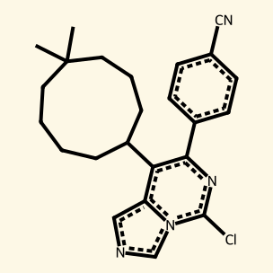 CC1(C)CCCCC(c2c(-c3ccc(C#N)cc3)nc(Cl)n3cncc23)CCC1